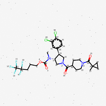 CN(C(=O)OCCCC(F)(F)C(F)(F)F)[C@H]1CN(C(=O)C2CCN(C(=O)C3(C)CC3)CC2)C[C@@H]1c1ccc(Cl)c(Cl)c1